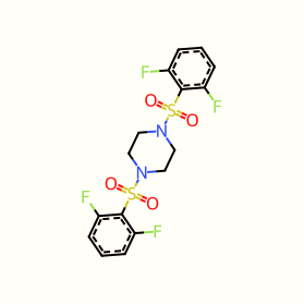 O=S(=O)(c1c(F)cccc1F)N1CCN(S(=O)(=O)c2c(F)cccc2F)CC1